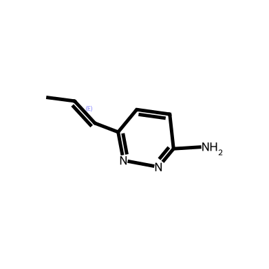 C/C=C/c1ccc(N)nn1